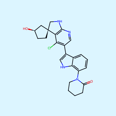 O=C1CCCCN1c1cccc2c(-c3cnc4c(c3Cl)[C@@]3(CC[C@@H](O)C3)CN4)c[nH]c12